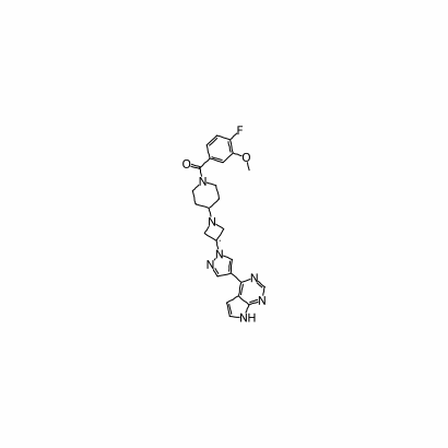 COc1cc(C(=O)N2CCC(N3C[C](n4cc(-c5ncnc6[nH]ccc56)cn4)C3)CC2)ccc1F